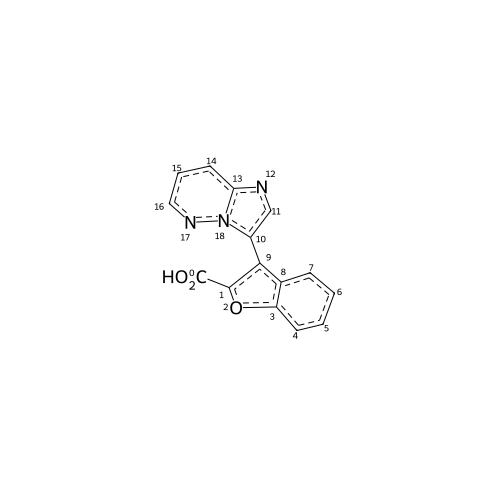 O=C(O)c1oc2ccccc2c1-c1cnc2cccnn12